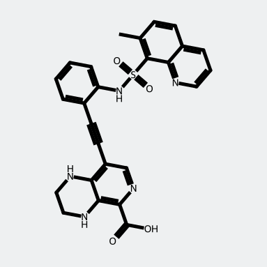 Cc1ccc2cccnc2c1S(=O)(=O)Nc1ccccc1C#Cc1cnc(C(=O)O)c2c1NCCN2